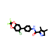 CC1=C(C)C(C(=O)Nc2ccc(-c3cc4c(cc3Cl)OC(F)(F)O4)cc2)=NC1